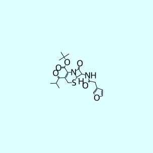 CC(C)C(=O)C1=C(C(=O)OC(C)(C)C)N2C(=O)C(NC(=O)Cc3ccoc3)[C@H]2SC1